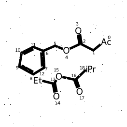 CC(=O)CC(=O)OCc1ccccc1.CCC(=O)OC(=O)C(C)C